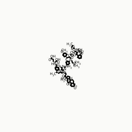 CN(Cc1cnc2nc(N)nc(N)c2n1)c1ccc(C(=O)N[C@@H](CCC(=O)O)C(=O)O)cc1.COc1ccc([C@@H]2Sc3ccccc3N(CCN(C)C)C(=O)[C@@H]2OC(C)=O)cc1.C[C@]12C=CC(=O)C=C1CC[C@@H]1[C@@H]2C(=O)C[C@@]2(C)[C@H]1CC[C@]2(O)C(=O)CO.Cc1cnc(NC(=O)C2=C(O)c3ccccc3S(=O)(=O)N2C)s1